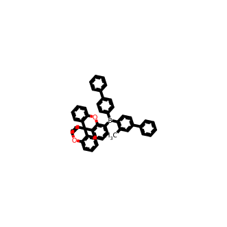 Cc1cc(-c2ccccc2)ccc1B(c1ccc(-c2ccccc2)cc1)c1cccc2c1Oc1ccccc1C21c2ccccc2Oc2ccccc21